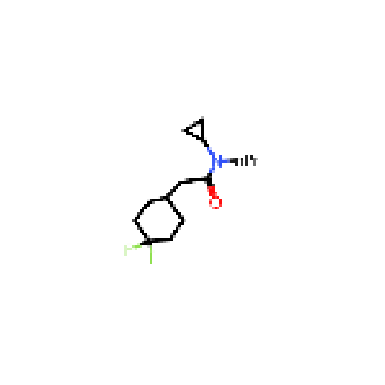 CCCN(C(=O)CC1CCC(F)(F)CC1)C1CC1